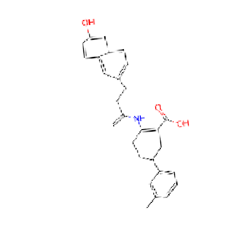 C=C(CCc1ccc2cc(O)ccc2c1)NC1=C(C(=O)O)CC(c2cccc(C)c2)CC1